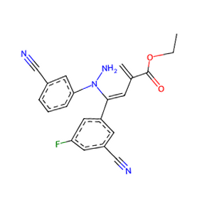 C=C(/C=C(/c1cc(F)cc(C#N)c1)N(N)c1cccc(C#N)c1)C(=O)OCC